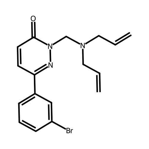 C=CCN(CC=C)Cn1nc(-c2cccc(Br)c2)ccc1=O